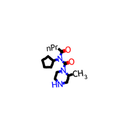 CCCC(=O)N(C(=O)N1CCNCC1C)C1CCCC1